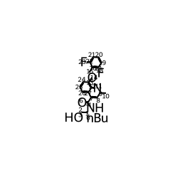 CCCC[C@H](CO)NC(=O)c1cc(C)nc2c(OCc3c(F)cccc3F)cccc12